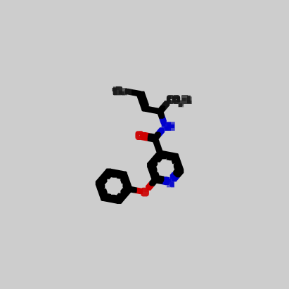 CCOC(=O)C(/C=C/C(C)(C)C)NC(=O)c1ccnc(Oc2ccccc2)c1